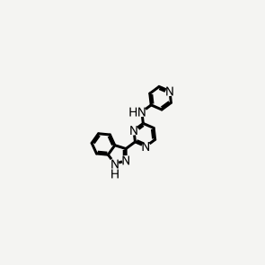 c1ccc2c(-c3nccc(Nc4ccncc4)n3)n[nH]c2c1